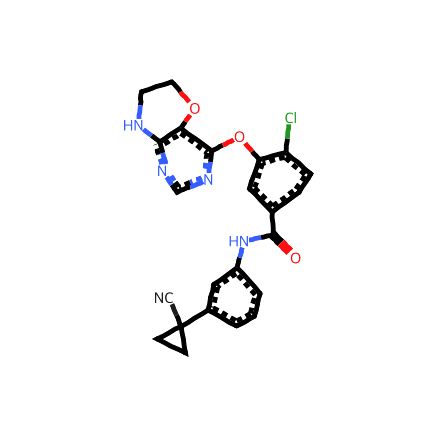 N#CC1(c2cccc(NC(=O)c3ccc(Cl)c(Oc4ncnc5c4OCCN5)c3)c2)CC1